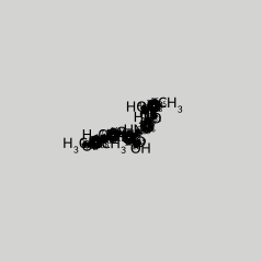 COc1ccc(C(C)(C)c2ccc(Oc3ccc(C(=O)O)c(CNc4cccc(NC(=O)c5cc(C)ccc5C(=O)O)c4)c3)cc2)cc1